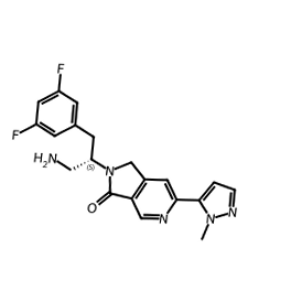 Cn1nccc1-c1cc2c(cn1)C(=O)N([C@H](CN)Cc1cc(F)cc(F)c1)C2